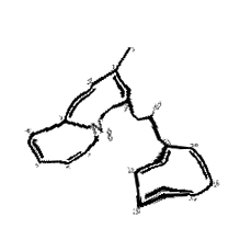 Cc1cc2ccccn2c1Cc1ccccc1